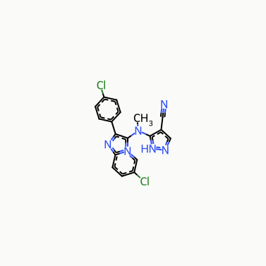 CN(c1[nH]ncc1C#N)c1c(-c2ccc(Cl)cc2)nc2ccc(Cl)cn12